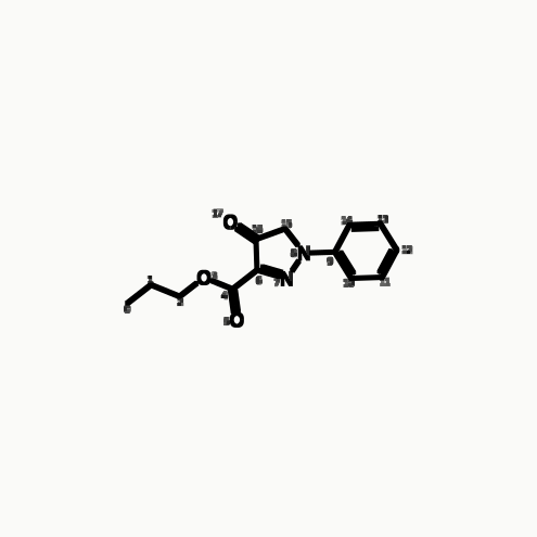 CCCOC(=O)C1=NN(c2ccccc2)CC1=O